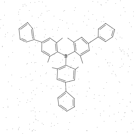 Cc1cc(-c2ccccc2)cc(C)c1B(c1c(C)cc(-c2ccccc2)cc1C)c1c(C)cc(-c2ccccc2)cc1C